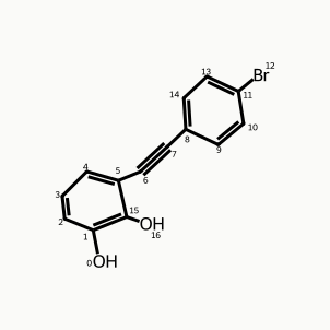 Oc1cccc(C#Cc2ccc(Br)cc2)c1O